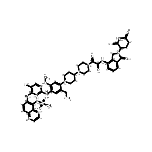 CCc1cc(Nc2ncc(Cl)c(Nc3ccc4nccnc4c3NS(C)(=O)=O)n2)c(OC)cc1N1CCC(N2CCN(C(=O)C(=O)Nc3cccc4c3CN(C3CCC(=O)NC3=O)C4=O)CC2)CC1